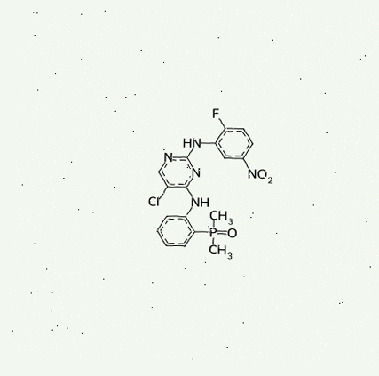 CP(C)(=O)c1ccccc1Nc1nc(Nc2cc([N+](=O)[O-])ccc2F)ncc1Cl